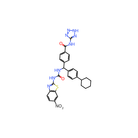 O=C(Nc1nc2ccc([N+](=O)[O-])cc2s1)NC(c1ccc(C(=O)Nc2nn[nH]n2)cc1)c1ccc(C2CCCCC2)cc1